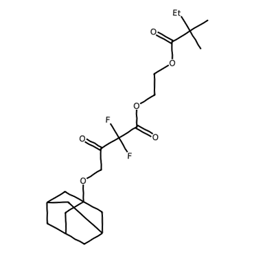 CCC(C)(C)C(=O)OCCOC(=O)C(F)(F)C(=O)COC12CC3CC(CC(C3)C1)C2